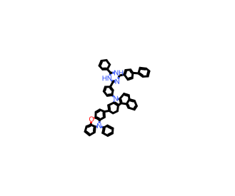 C1=CCCC(C2NC(c3cccc(-n4c5c(c6c7ccccc7ccc64)CCC(c4ccc6c(c4)N(c4ccccc4)c4ccccc4O6)=C5)c3)=NC(c3ccc(-c4ccccc4)cc3)N2)=C1